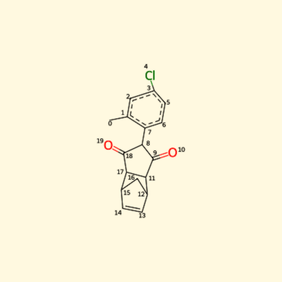 Cc1cc(Cl)ccc1C1C(=O)C2C3C=CC(C3)C2C1=O